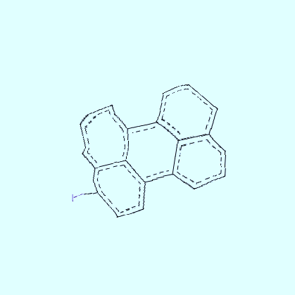 Ic1ccc2c3cccc4cccc(c5cccc1c52)c43